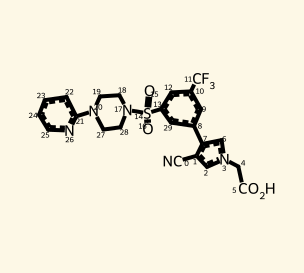 N#Cc1cn(CC(=O)O)cc1-c1cc(C(F)(F)F)cc(S(=O)(=O)N2CCN(c3ccccn3)CC2)c1